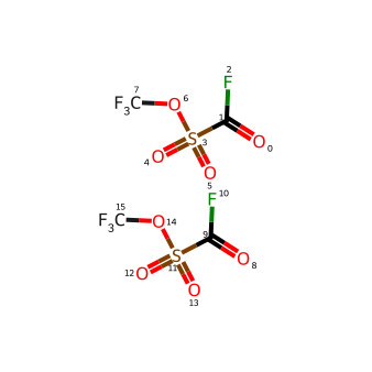 O=C(F)S(=O)(=O)OC(F)(F)F.O=C(F)S(=O)(=O)OC(F)(F)F